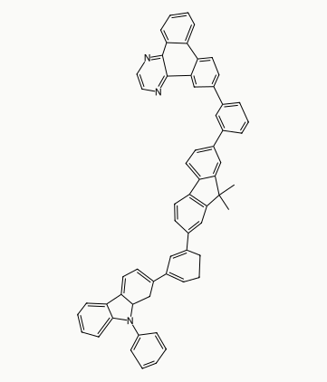 CC1(C)c2cc(C3=CC(C4=CC=C5c6ccccc6N(c6ccccc6)C5C4)=CCC3)ccc2-c2ccc(-c3cccc(-c4ccc5c6ccccc6c6nccnc6c5c4)c3)cc21